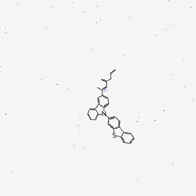 C=CCC(=C)/C=C(\C)c1ccc2c(c1)c1ccccc1n2-c1ccc2c(c1)sc1ccccc12